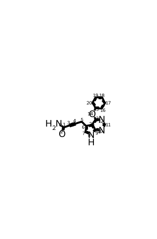 NC(=O)C#CCc1c[nH]c2ncnc(Oc3ccccc3)c12